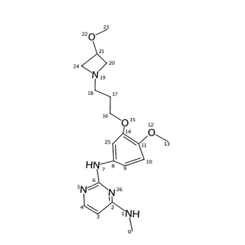 CNc1ccnc(Nc2ccc(OC)c(OCCCN3CC(OC)C3)c2)n1